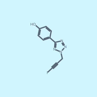 Oc1ccc(-c2nnn(CC#CI)n2)cc1